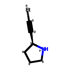 CCC#C[C@@H]1CCCN1